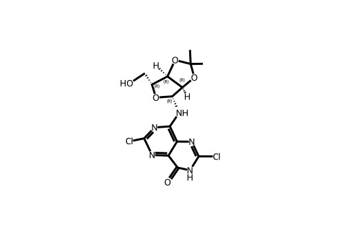 CC1(C)O[C@@H]2[C@H](O1)[C@@H](CO)O[C@H]2Nc1nc(Cl)nc2c(=O)[nH]c(Cl)nc12